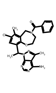 Cc1c(Cl)cc(C(C)n2nc(C)c3c(N)ncnc32)c2c1CN(C(=O)c1ccccc1)CCO2